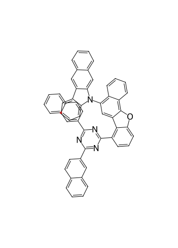 c1ccc2cc(-c3nc(-c4ccc5ccccc5c4)nc(-c4cccc5oc6c7ccccc7c(-n7c8ccccc8c8cc9ccccc9cc87)cc6c45)n3)ccc2c1